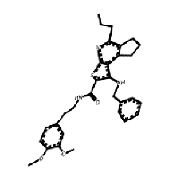 CCCc1nc2sc(C(=O)NCCc3ccc(OC)c(OC)c3)c(NCc3ccccc3)c2c2c1CCC2